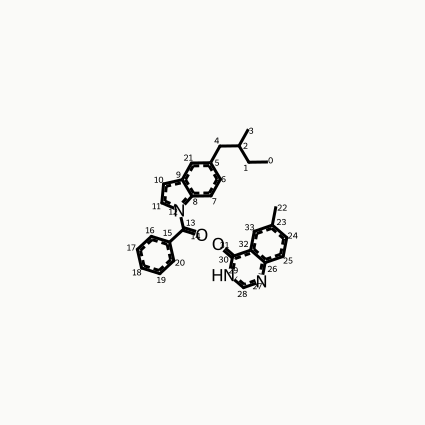 CCC(C)Cc1ccc2c(ccn2C(=O)c2ccccc2)c1.Cc1ccc2nc[nH]c(=O)c2c1